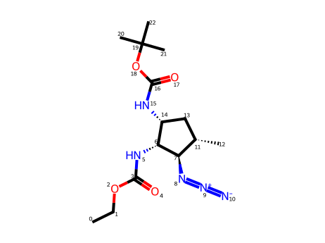 CCOC(=O)N[C@H]1[C@H](N=[N+]=[N-])[C@@H](C)C[C@H]1NC(=O)OC(C)(C)C